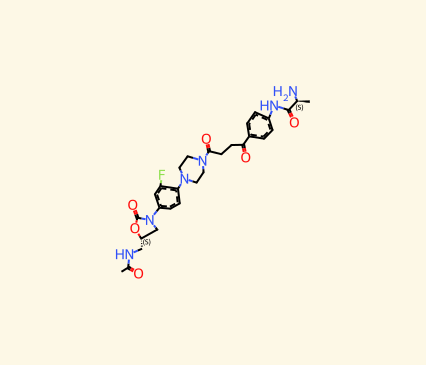 CC(=O)NC[C@H]1CN(c2ccc(N3CCN(C(=O)CCC(=O)c4ccc(NC(=O)[C@H](C)N)cc4)CC3)c(F)c2)C(=O)O1